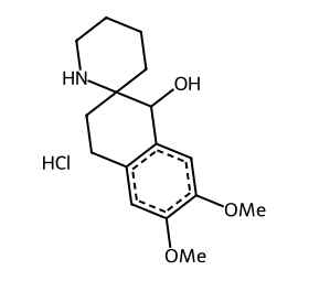 COc1cc2c(cc1OC)C(O)C1(CCCCN1)CC2.Cl